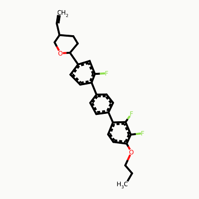 C=CC1CCC(c2ccc(-c3ccc(-c4ccc(OCCC)c(F)c4F)cc3)c(F)c2)OC1